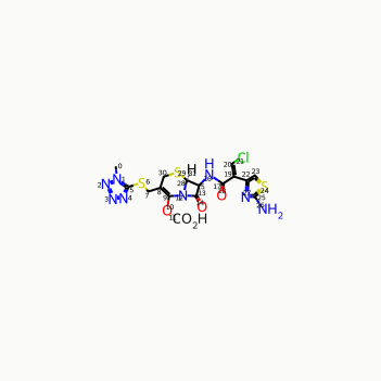 Cn1nnnc1SCC1=C(OC(=O)O)N2C(=O)C(NC(=O)C(=CCl)c3csc(N)n3)[C@@H]2SC1